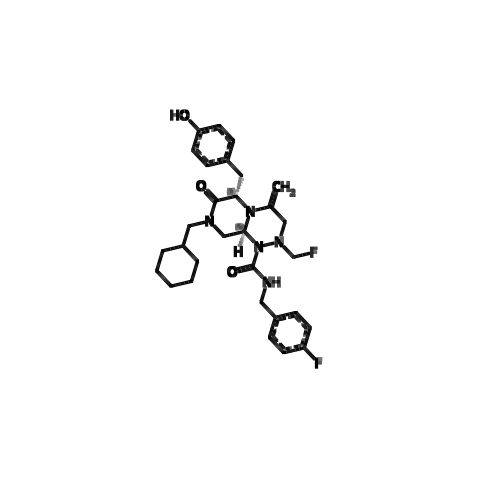 C=C1CN(CF)N(C(=O)NCc2ccc(F)cc2)[C@H]2CN(CC3CCCCC3)C(=O)[C@H](Cc3ccc(O)cc3)N12